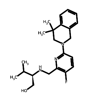 CC(C)[C@H](CO)NCc1nc(N2Cc3ccccc3C(C)(C)C2)ccc1F